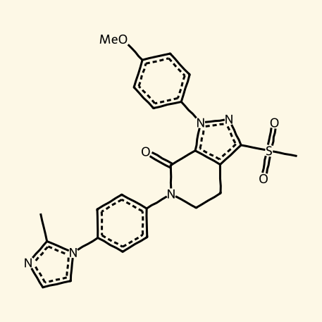 COc1ccc(-n2nc(S(C)(=O)=O)c3c2C(=O)N(c2ccc(-n4ccnc4C)cc2)CC3)cc1